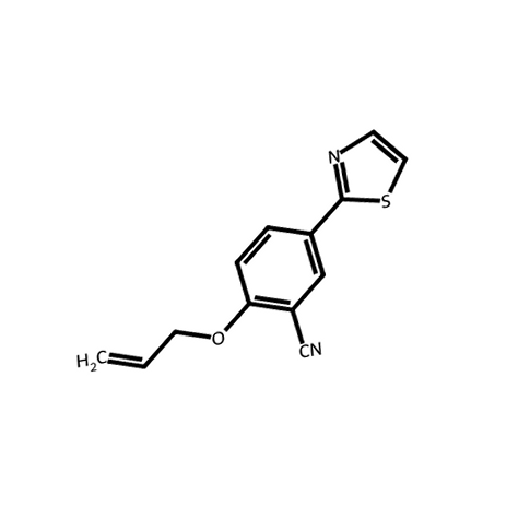 C=CCOc1ccc(-c2nccs2)cc1C#N